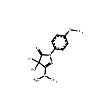 COc1ccc(N2N=C(N(C)C)C(O)(O)C2=O)cc1